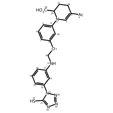 CC(=O)C1=CN(c2cccc(OCNc3cccc(-n4nnnc4S)c3)c2)C(C(=O)O)CC1